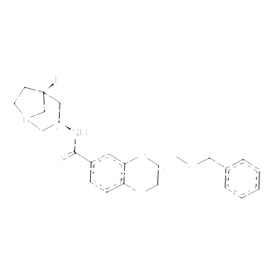 O=C(N[C@@H]1C[C@H]2CCN(C2)C1)c1ccc2c(c1)O[C@H](COCc1ccccc1)CO2